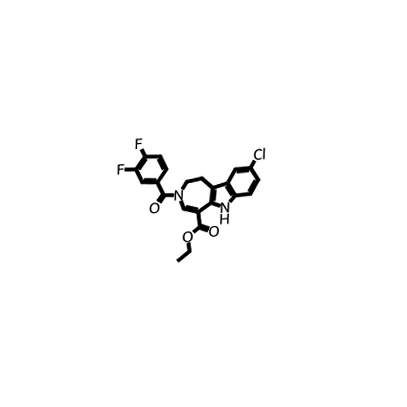 CCOC(=O)C1=CN(C(=O)c2ccc(F)c(F)c2)CCc2c1[nH]c1ccc(Cl)cc21